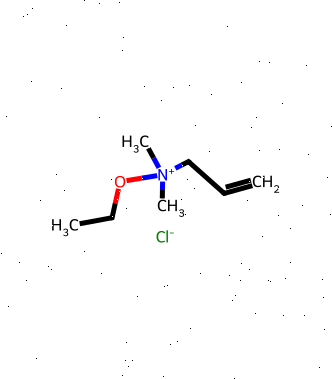 C=CC[N+](C)(C)OCC.[Cl-]